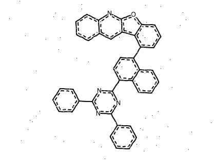 c1ccc(-c2nc(-c3ccccc3)nc(-c3ccc(-c4cccc5oc6nc7ccccc7cc6c45)c4ccccc34)n2)cc1